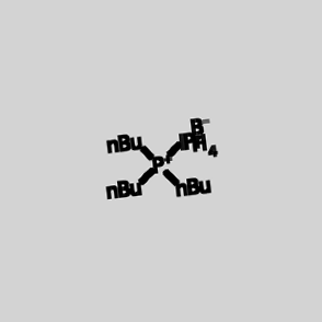 CCCC[P+](CCCC)(CCCC)C(C)C.[BH4-]